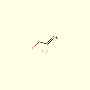 C=CC[O].S